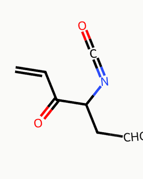 C=CC(=O)C(CC=O)N=C=O